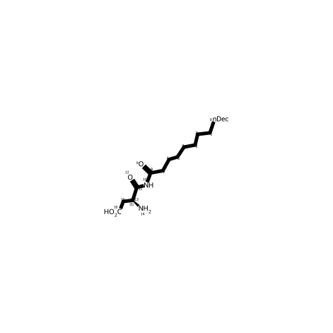 CCCCCCCCCCCCCCCCCC(=O)NC(=O)[C@@H](N)CC(=O)O